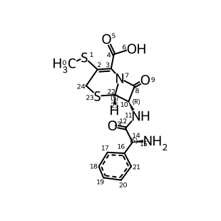 CSC1=C(C(=O)O)N2C(=O)[C@@H](NC(=O)[C@@H](N)c3ccccc3)[C@@H]2SC1